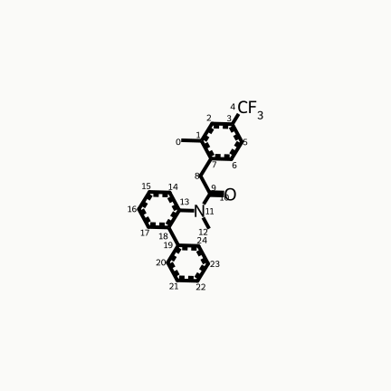 Cc1cc(C(F)(F)F)ccc1CC(=O)N(C)c1ccccc1-c1ccccc1